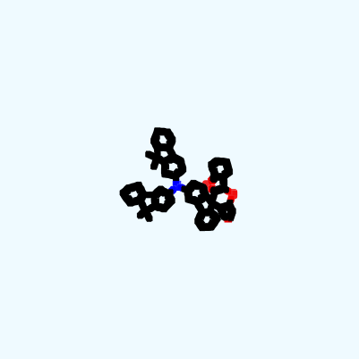 CC1(C)c2ccccc2-c2cc(N(c3ccc4c(c3)-c3ccccc3C43c4ccccc4Oc4c3oc3ccccc43)c3ccc4c(c3)C(C)(C)c3ccccc3-4)ccc21